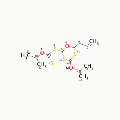 CCCCOC(SC(=S)OC(C)C)SC(=S)OC(C)C